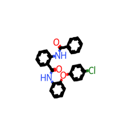 O=C(Nc1ccccc1C(=O)Nc1ccccc1Oc1ccc(Cl)cc1)c1ccccc1